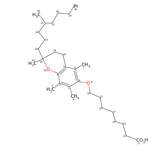 Cc1c(C)c2c(c(C)c1OCCCCCCCC(=O)O)CCC(C)(CCCC(C)CCCC(C)C)O2